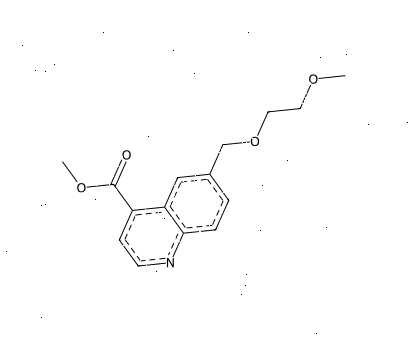 COCCOCc1ccc2nccc(C(=O)OC)c2c1